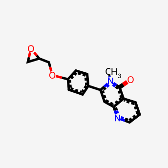 Cn1c(-c2ccc(OCC3CO3)cc2)cc2ncccc2c1=O